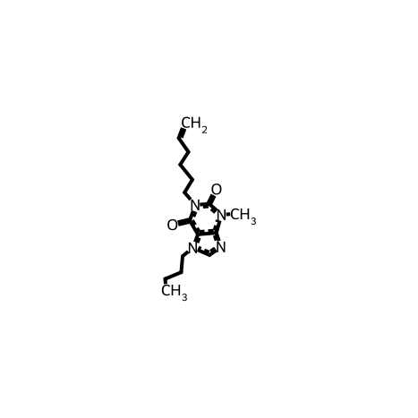 C=CCCCCn1c(=O)c2c(ncn2CCCC)n(C)c1=O